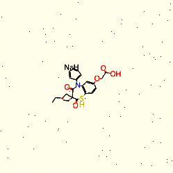 CCCCC1(CC)C(=O)[SH]c2ccc(OCC(=O)O)cc2N(c2ccccc2)C1=O.[NaH]